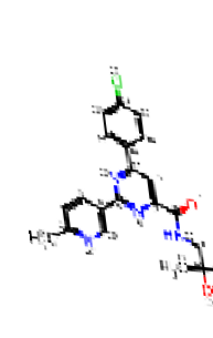 Cc1ccc(-c2nc(C(=O)NCC(C)(C)O)cc(-c3ccc(Cl)cc3)n2)cn1